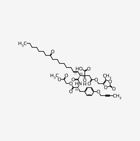 CC#CCOc1ccc(C[C@H](NC(=O)[C@@H](/C=C/CCCCCCC(=O)CCCCCCC)[C@@](O)(CC(=O)OCc2oc(=O)oc2C)C(=O)O)C(=O)OCC(=O)OC)cc1